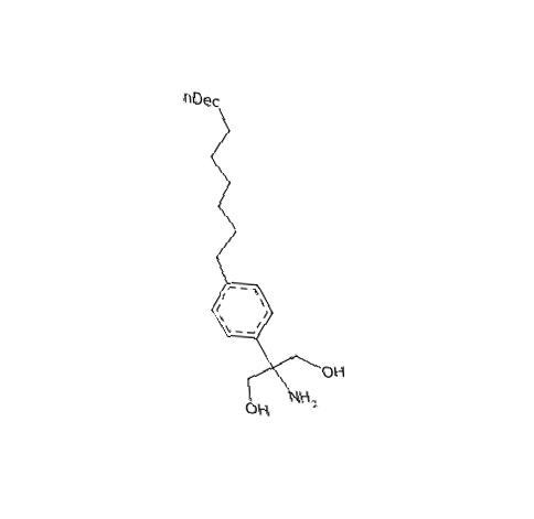 CCCCCCCCCCCCCCCCc1ccc(C(N)(CO)CO)cc1